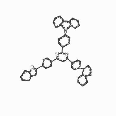 c1ccc2oc(-c3ccc(-c4cc(-c5ccc(-c6cccc7ccccc67)cc5)nc(-c5ccc(-n6c7ccccc7c7ccccc76)cc5)n4)cc3)cc2c1